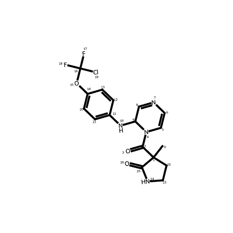 CC1(C(=O)N2C=CN=CC2Nc2ccc(OC(F)(F)Cl)cc2)CCNC1=O